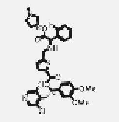 COc1ccc([C@H](Cc2c(Cl)cncc2Cl)OC(=O)c2ccc(CNC(C(=O)O[C@@H]3CCN(C)C3)c3ccccc3F)s2)cc1OC